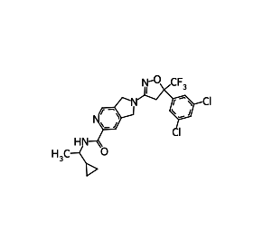 CC(NC(=O)c1cc2c(cn1)CN(C1=NOC(c3cc(Cl)cc(Cl)c3)(C(F)(F)F)C1)C2)C1CC1